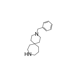 c1ccc(CN2CCC3(CCCNCC3)CC2)cc1